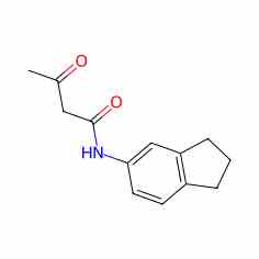 CC(=O)CC(=O)Nc1ccc2c(c1)CCC2